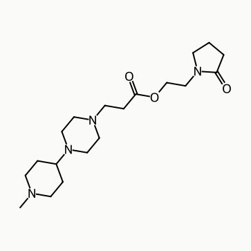 CN1CCC(N2CCN(CCC(=O)OCCN3CCCC3=O)CC2)CC1